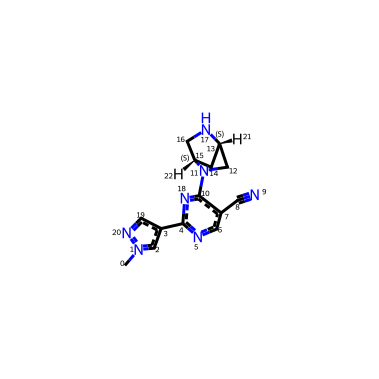 Cn1cc(-c2ncc(C#N)c(N3C[C@@H]4C[C@H]3CN4)n2)cn1